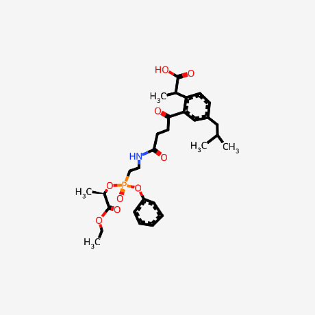 CCOC(=O)[C@@H](C)OP(=O)(CCNC(=O)CCC(=O)c1cc(CC(C)C)ccc1C(C)C(=O)O)Oc1ccccc1